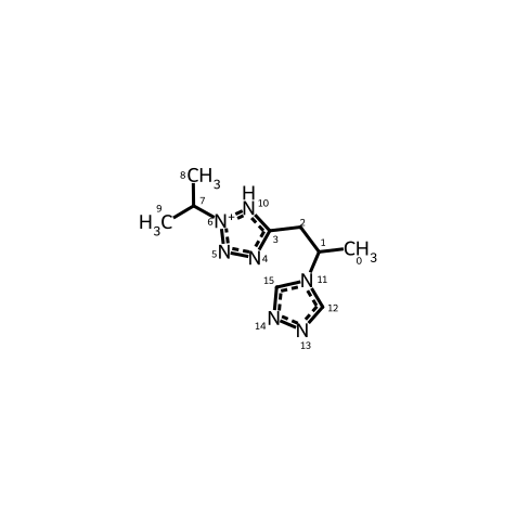 CC(Cc1nn[n+](C(C)C)[nH]1)n1cnnc1